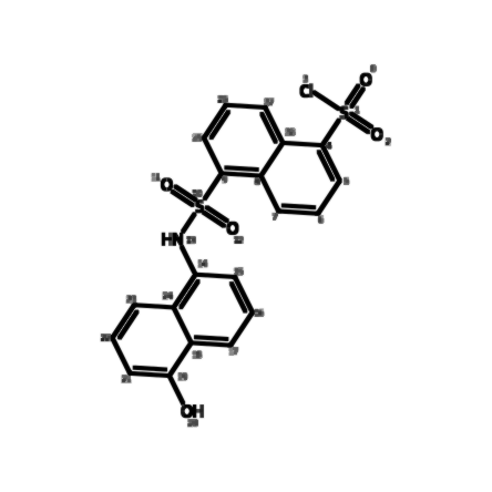 O=S(=O)(Cl)c1cccc2c(S(=O)(=O)Nc3cccc4c(O)cccc34)cccc12